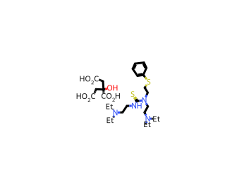 CCN(CC)CCNC(=S)N(CCSc1ccccc1)CCN(CC)CC.O=C(O)CC(O)(CC(=O)O)C(=O)O